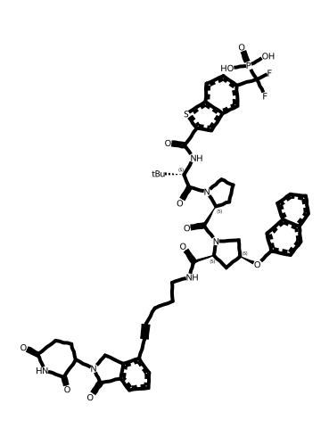 CC(C)(C)[C@H](NC(=O)c1cc2cc(C(F)(F)P(=O)(O)O)ccc2s1)C(=O)N1CCC[C@H]1C(=O)N1C[C@@H](Oc2ccc3ccccc3c2)C[C@H]1C(=O)NCCCC#Cc1cccc2c1CN(C1CCC(=O)NC1=O)C2=O